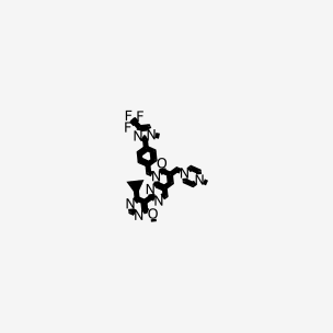 COc1ncnc(C2CC2)c1-c1ncc2cc(CN3CCN(C)CC3)c(=O)n(Cc3ccc(-c4nc(C(F)(F)F)cn4C)cc3)c2n1